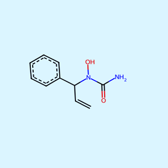 C=CC(c1ccccc1)N(O)C(N)=O